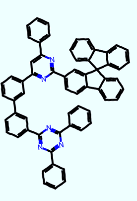 c1ccc(-c2cc(-c3cccc(-c4cccc(-c5nc(-c6ccccc6)nc(-c6ccccc6)n5)c4)c3)nc(-c3ccc4c(c3)C3(c5ccccc5-c5ccccc53)c3ccccc3-4)n2)cc1